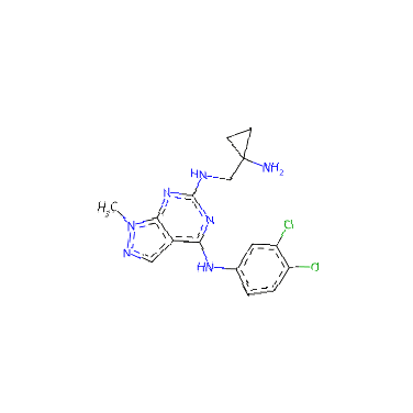 Cn1ncc2c(Nc3ccc(Cl)c(Cl)c3)nc(NCC3(N)CC3)nc21